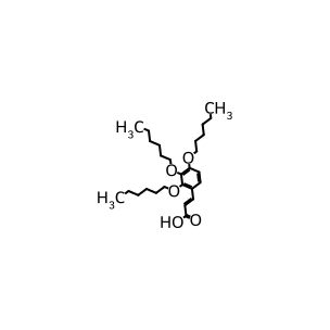 CCCCCCOc1ccc(C=CC(=O)O)c(OCCCCCC)c1OCCCCCC